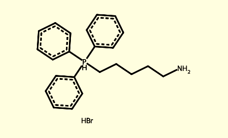 Br.NCCCCC[PH](c1ccccc1)(c1ccccc1)c1ccccc1